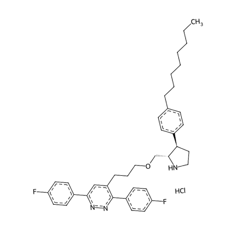 CCCCCCCCc1ccc([C@H]2CCN[C@@H]2COCCCc2cc(-c3ccc(F)cc3)nnc2-c2ccc(F)cc2)cc1.Cl